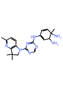 Cc1ccc2c(n1)C(C)(C)CN2c1ncnc(NC2=CC(N)C(C)(N)C=C2)n1